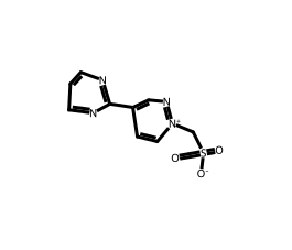 O=S(=O)([O-])C[n+]1ccc(-c2ncccn2)cn1